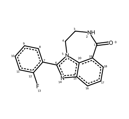 O=C1NCCn2c(-c3ccccc3F)nc3cccc1c32